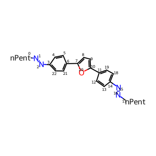 CCCCCN=Nc1ccc(-c2ccc(-c3ccc(N=NCCCCC)cc3)o2)cc1